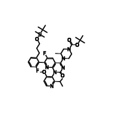 COc1ccnc(C(C)C)c1-n1c(=O)nc(N2CCN(C(=O)OC(C)(C)C)CC2C)c2cc(F)c(-c3c(F)cccc3CCCO[Si](C)(C)C(C)(C)C)nc21